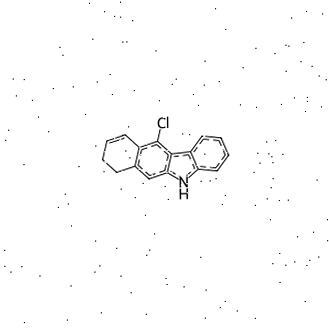 Clc1c2c(cc3[nH]c4ccccc4c13)CCC=C2